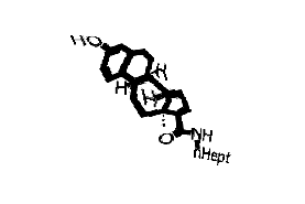 CCCCCCCNC(=O)C1=CC[C@H]2[C@@H]3CCc4cc(O)ccc4[C@H]3CC[C@]12C